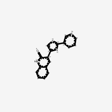 O=c1[nH]c2ccccc2cc1-c1csc(-c2cccnc2)n1